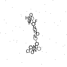 O=C1CCC(c2c(F)cc(N3CCN(C(=O)CN4CCC(c5ccc6c(c5)-n5c(nc(=O)c7c(Cl)cccc75)C65CCCCC5)CC4)CC3)cc2F)C(=O)N1